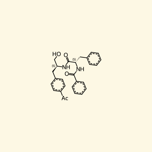 CC(=O)c1ccc(C[C@@H](CO)NC(=O)[C@H](Cc2ccccc2)NC(=O)c2ccccc2)cc1